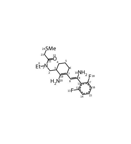 CCN(CC1CCCC(/C=C(\N)c2c(F)cccc2F)=C1N)C(=O)CSC